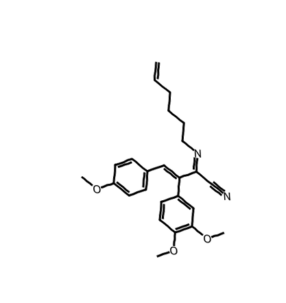 C=CCCCC/N=C(C#N)\C(=C\c1ccc(OC)cc1)c1ccc(OC)c(OC)c1